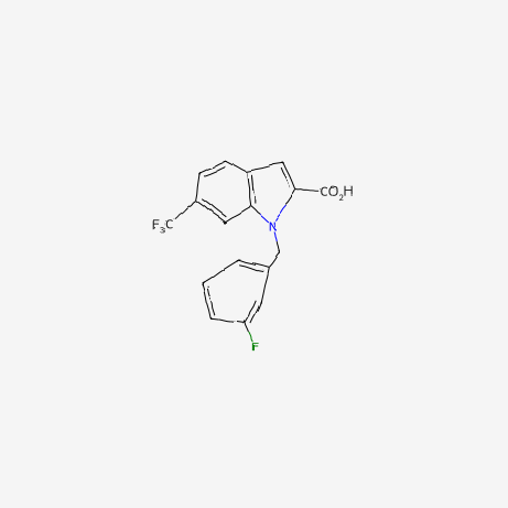 O=C(O)c1cc2ccc(C(F)(F)F)cc2n1Cc1cccc(F)c1